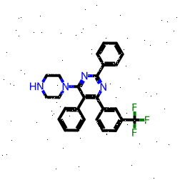 FC(F)(F)c1cccc(-c2nc(-c3ccccc3)nc(N3CCNCC3)c2-c2ccccc2)c1